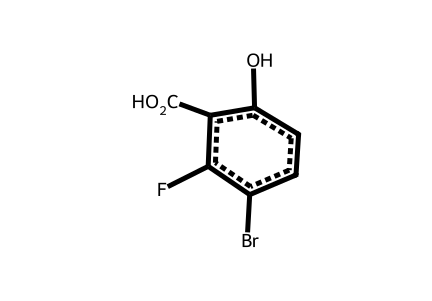 O=C(O)c1c(O)ccc(Br)c1F